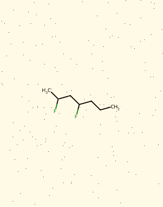 [CH2]CCC(F)CC(C)F